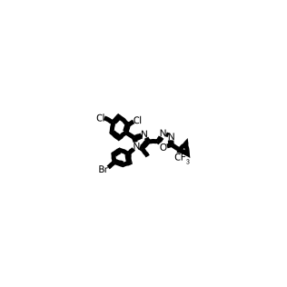 Cc1c(-c2nnc(C3(C(F)(F)F)CC3)o2)nc(-c2ccc(Cl)cc2Cl)n1-c1ccc(Br)cc1